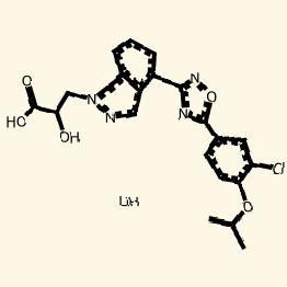 CC(C)Oc1ccc(-c2nc(-c3cccc4c3cnn4CC(O)C(=O)O)no2)cc1Cl.[LiH]